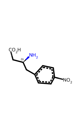 N[C@H](CC(=O)O)Cc1ccc([N+](=O)[O-])cc1